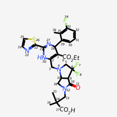 CCOC(=O)C1=C(CN2CC(F)(F)C3C(=O)N(CC(C)(C)C(=O)O)CC32)NC(c2nccs2)=NC1c1cccc(F)c1C